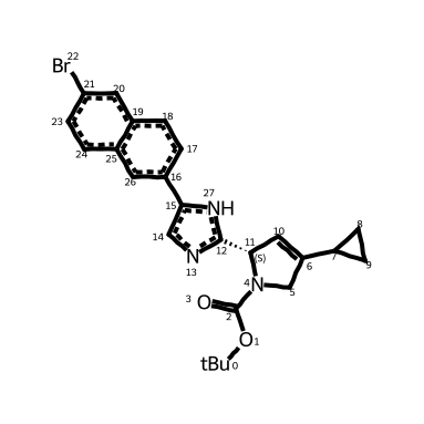 CC(C)(C)OC(=O)N1CC(C2CC2)=C[C@H]1c1ncc(-c2ccc3cc(Br)ccc3c2)[nH]1